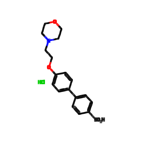 Cl.O=S(=O)(O)c1ccc(-c2ccc(OCCN3CCOCC3)cc2)cc1